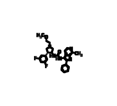 COCCN1C[C@@H](NC(=O)Nc2c(-c3ccccc3)nc3c(C)nccn23)[C@H](c2cc(F)cc(F)c2)C1